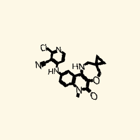 Cn1c(=O)c2c(c3cc(Nc4ccnc(Cl)c4C#N)ccc31)NCC1(CC1)CO2